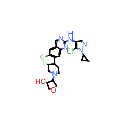 OC1COCC1N1CCC(c2cc3nc(Nc4cnn(C5CC5)c4Cl)ncc3cc2Cl)C(F)C1